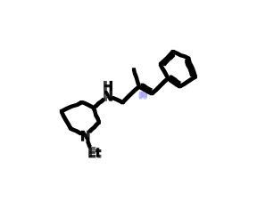 CCN1CCCC(NC/C(C)=C/c2ccccc2)C1